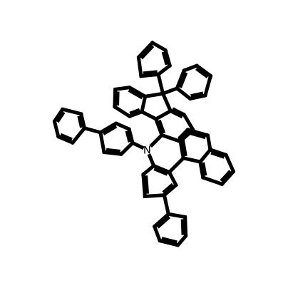 c1ccc(-c2ccc(N(c3ccc(-c4ccccc4)cc3-c3cccc4ccccc34)c3cccc4c3-c3ccccc3C4(c3ccccc3)c3ccccc3)cc2)cc1